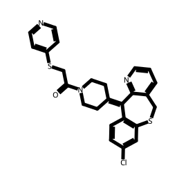 O=C(CSc1ccncc1)N1CCC(=C2c3ccc(Cl)cc3SCc3cccnc32)CC1